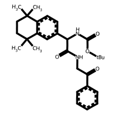 CC(C)(C)OC(=O)NC(C(=O)NCC(=O)c1ccccc1)c1ccc2c(c1)C(C)(C)CCC2(C)C